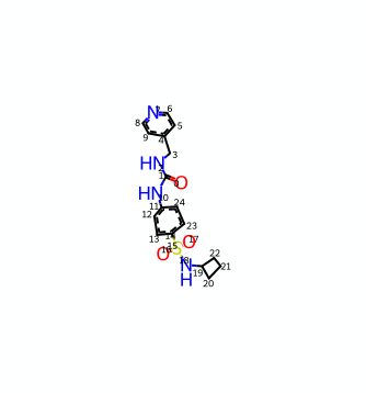 O=C(NCc1ccncc1)Nc1ccc(S(=O)(=O)NC2CCC2)cc1